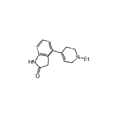 CCN1CC=C(c2cccc3c2CC(=O)N3)CC1